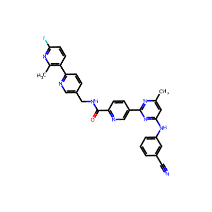 Cc1cc(Nc2cccc(C#N)c2)nc(-c2ccc(C(=O)NCc3ccc(-c4ccc(F)nc4C)nc3)nc2)n1